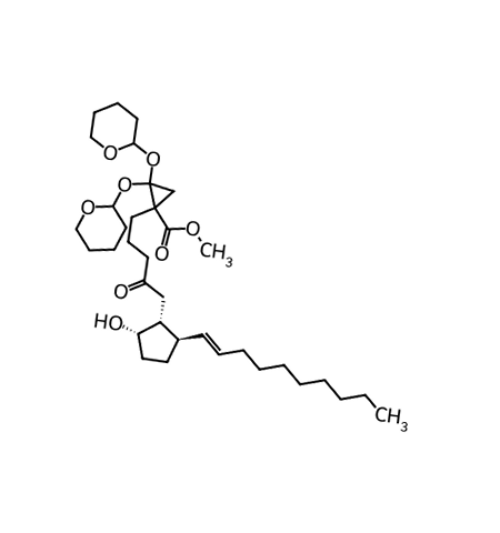 CCCCCCCC/C=C/[C@H]1CC[C@H](O)[C@@H]1CC(=O)CCCC1(C(=O)OC)CC1(OC1CCCCO1)OC1CCCCO1